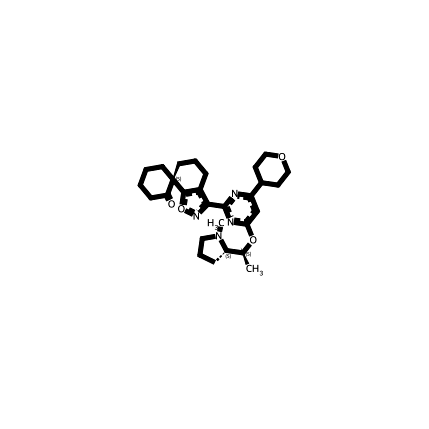 C[C@H](Oc1cc(C2CCOCC2)nc(-c2noc3c2CCC[C@@]32CCCCC2=O)n1)[C@@H]1CCCN1C